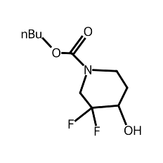 CCCCOC(=O)N1CCC(O)C(F)(F)C1